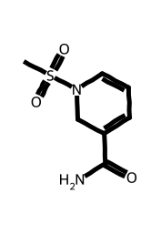 CS(=O)(=O)N1C=CC=C(C(N)=O)C1